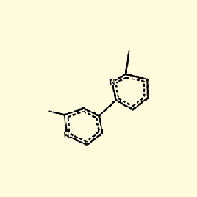 Cc1cc(-c2cccc(C)n2)ccn1